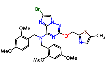 COc1ccc(CN(Cc2ccc(OC)cc2OC)c2nc(OCc3ncc(C)s3)nn3cc(Br)nc23)c(OC)c1